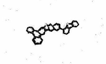 c1ccc2c(c1)oc1c(-c3ccc4cc5oc6cc7c8ccccc8c8ccccc8c7cc6c5cc4c3)cccc12